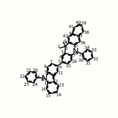 CC1(C)c2cc(-c3ccc4c(c3)c3ccccc3n4-c3ccccc3)ccc2N(c2ccccc2)c2cc3ccccc3cc21